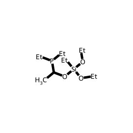 CCO[Si](CC)(OCC)OC(C)P(CC)CC